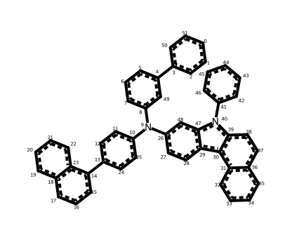 c1ccc(-c2cccc(N(c3ccc(-c4cccc5ccccc45)cc3)c3ccc4c5c6ccccc6ccc5n(-c5ccccc5)c4c3)c2)cc1